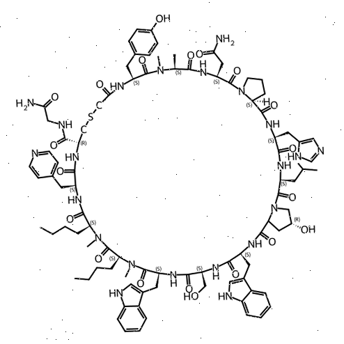 CCCC[C@H]1C(=O)N(C)[C@@H](CCCC)C(=O)N[C@@H](Cc2ccncc2)C(=O)N[C@H](C(=O)NCC(N)=O)CSCC(=O)N[C@@H](Cc2ccc(O)cc2)C(=O)N(C)[C@@H](C)C(=O)N[C@@H](CC(N)=O)C(=O)N2CCC[C@H]2C(=O)N[C@@H](Cc2cnc[nH]2)C(=O)N[C@@H](CC(C)C)C(=O)N2C[C@H](O)CC2C(=O)N[C@@H](Cc2c[nH]c3ccccc23)C(=O)N[C@@H](CO)C(=O)N[C@@H](Cc2c[nH]c3ccccc23)C(=O)N1C